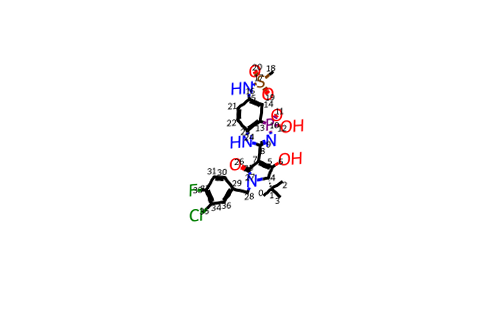 CC(C)(C)[C@H]1C(O)=C(C2=NP(=O)(O)c3cc(NS(C)(=O)=O)ccc3N2)C(=O)N1Cc1ccc(F)c(Cl)c1